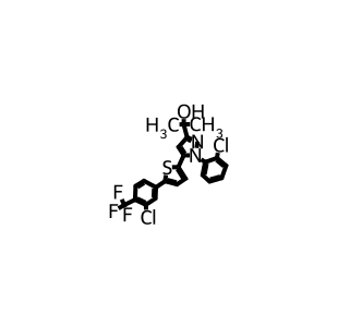 CC(C)(O)c1cc(-c2ccc(-c3ccc(C(F)(F)F)c(Cl)c3)s2)n(-c2ccccc2Cl)n1